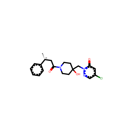 C[C@H](CC(=O)N1CCC(O)(Cn2ncc(Cl)cc2=O)CC1)c1ccccc1